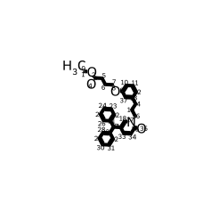 CCOC(=O)CCCOc1cccc(CCCn2cc(C(c3ccccc3)c3ccccc3)ccc2=O)c1